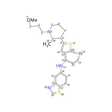 COCCCN1CCCC(c2cc3c(Nc4ccc5scnc5c4)ccnc3s2)C1C